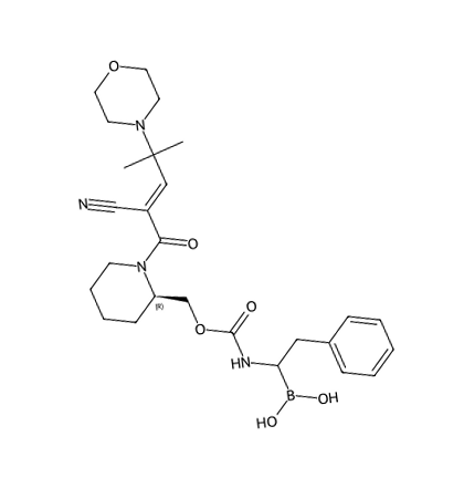 CC(C)(C=C(C#N)C(=O)N1CCCC[C@@H]1COC(=O)NC(Cc1ccccc1)B(O)O)N1CCOCC1